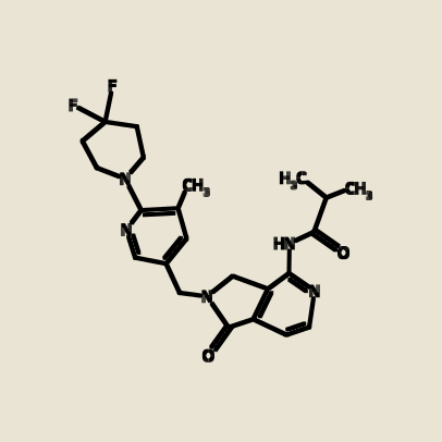 Cc1cc(CN2Cc3c(ccnc3NC(=O)C(C)C)C2=O)cnc1N1CCC(F)(F)CC1